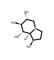 O[C@@H]1[C@@H](O)[C@H](O)CN2CC[C@@H](O)[C@@H]12